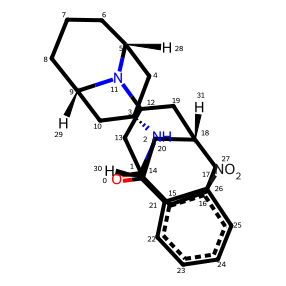 O=C(N[C@H]1C[C@H]2CCC[C@@H](C1)N2C1C[C@H]2CCC[C@@H](C1)C2)c1ccccc1[N+](=O)[O-]